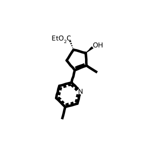 CCOC(=O)[C@H]1CC(c2ccc(C)cn2)=C(C)[C@@H]1O